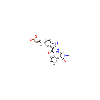 CN1CC(NC(C(=O)c2c[nH]c3ccc(CCC[SH](=O)=O)cc23)c2ccccc2)CC1=O